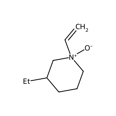 C=C[N+]1([O-])CCCC(CC)C1